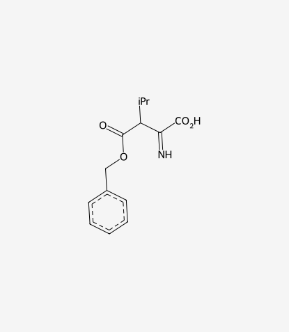 CC(C)C(C(=N)C(=O)O)C(=O)OCc1ccccc1